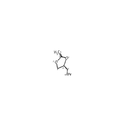 C=C1OCC(CCCC)O1